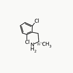 C[C@H](N)Cc1c(Cl)cccc1Cl